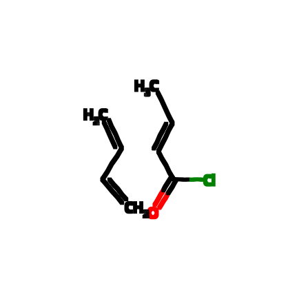 C=CC=C.CC=CC(=O)Cl